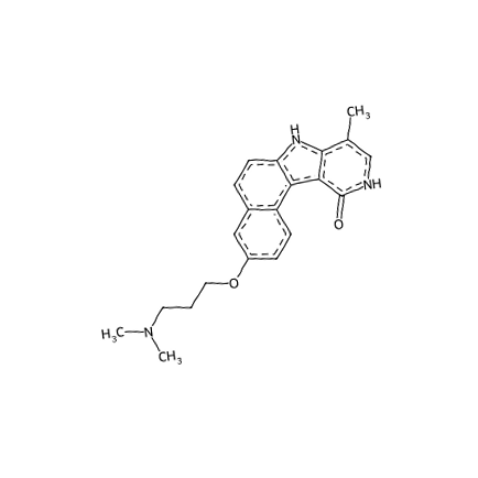 Cc1c[nH]c(=O)c2c1[nH]c1ccc3cc(OCCCN(C)C)ccc3c12